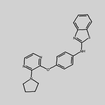 c1ccc2sc(Nc3ccc(Oc4nccnc4N4CCCC4)cc3)nc2c1